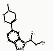 CN1CC=C(c2ccc3cnn(C(N)CO)c3c2)CC1